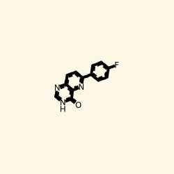 O=c1[nH]cnc2ccc(-c3ccc(F)cc3)nc12